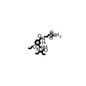 CCCOc1ccc(C(=O)NCCCS(N)(=O)=O)cc1-c1nc(CC)c(CC)c(=O)[nH]1